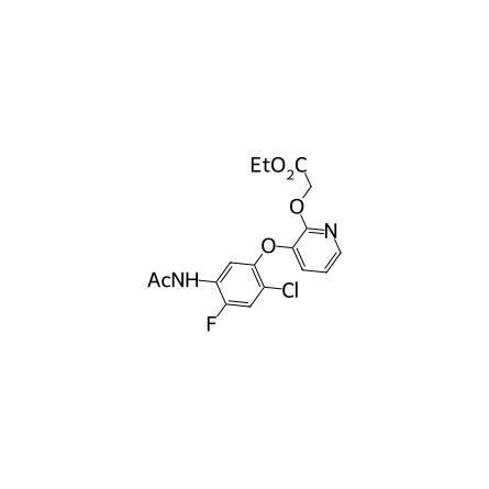 CCOC(=O)COc1ncccc1Oc1cc(NC(C)=O)c(F)cc1Cl